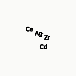 [Ag].[Cd].[Ce].[Zr]